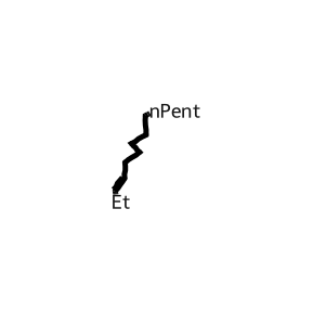 C[CH]CCCCCCCC/C=C/CC